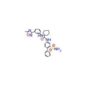 Cc1nc(-c2cccc(NC3(C(=O)Nc4ccc(-c5ccccc5)c(S(N)(=O)=O)c4)CCCCC3)c2)no1